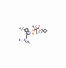 Cc1ccc2c(c1)c(CCN(C)C)cn2S(=O)(=O)OCC(C)(C)C(=O)OCC1(C)CCC1